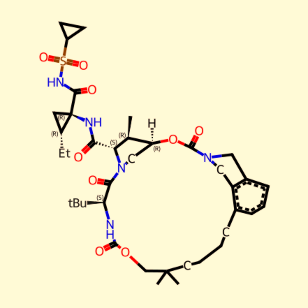 CC[C@@H]1C[C@]1(NC(=O)[C@@H]1[C@@H](C)[C@@H]2CN1C(=O)[C@H](C(C)(C)C)NC(=O)OCC(C)(C)CCCCc1cccc3c1CN(C3)C(=O)O2)C(=O)NS(=O)(=O)C1CC1